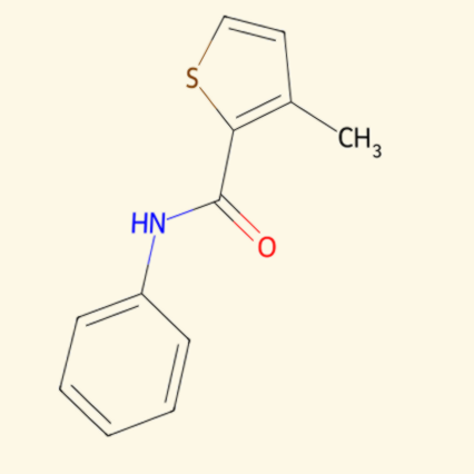 Cc1ccsc1C(=O)Nc1ccccc1